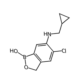 OB1OCc2cc(Cl)c(NCC3CC3)cc21